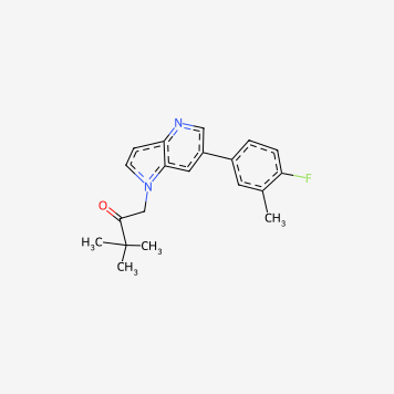 Cc1cc(-c2cnc3ccn(CC(=O)C(C)(C)C)c3c2)ccc1F